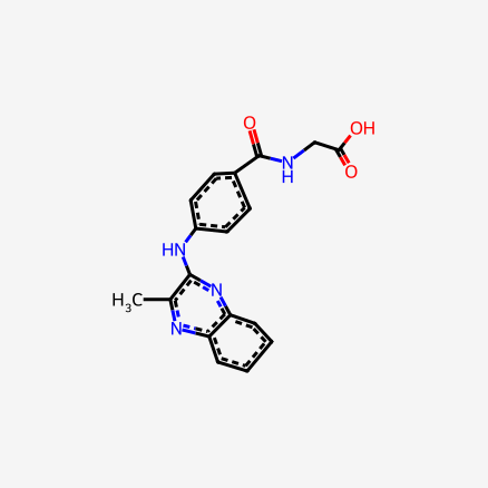 Cc1nc2ccccc2nc1Nc1ccc(C(=O)NCC(=O)O)cc1